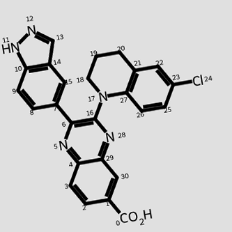 O=C(O)c1ccc2nc(-c3ccc4[nH]ncc4c3)c(N3CCCc4cc(Cl)ccc43)nc2c1